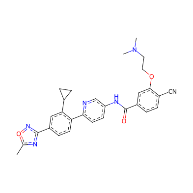 Cc1nc(-c2ccc(-c3ccc(NC(=O)c4ccc(C#N)c(OCCN(C)C)c4)cn3)c(C3CC3)c2)no1